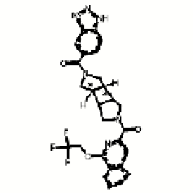 O=C(c1ccc2[nH]nnc2c1)N1C[C@@H]2C3CN(C(=O)c4cc5ccccc5c(OCC(F)(F)F)n4)CC3[C@@H]2C1